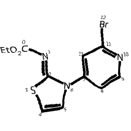 CCOC(=O)/N=c1\sccn1-c1ccnc(Br)c1